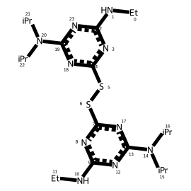 CCNc1nc(SSc2nc(NCC)nc(N(C(C)C)C(C)C)n2)nc(N(C(C)C)C(C)C)n1